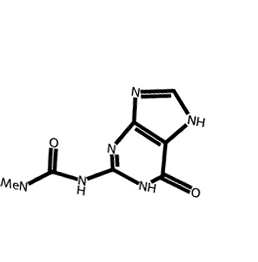 CNC(=O)Nc1nc2nc[nH]c2c(=O)[nH]1